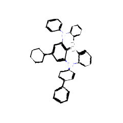 c1ccc(-c2ccc(N3c4ccccc4B4c5ccccc5N(c5ccccc5)c5cc(C6CCCCC6)cc3c54)cc2)cc1